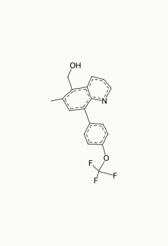 Cc1cc(-c2ccc(OC(F)(F)F)cc2)c2ncccc2c1CO